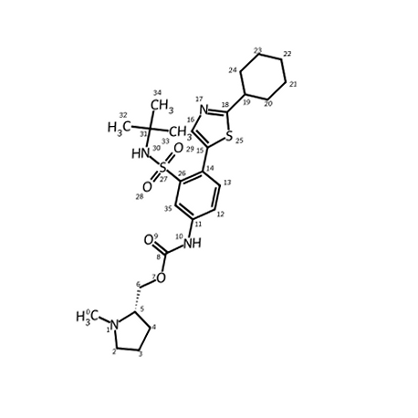 CN1CCC[C@H]1COC(=O)Nc1ccc(-c2cnc(C3CCCCC3)s2)c(S(=O)(=O)NC(C)(C)C)c1